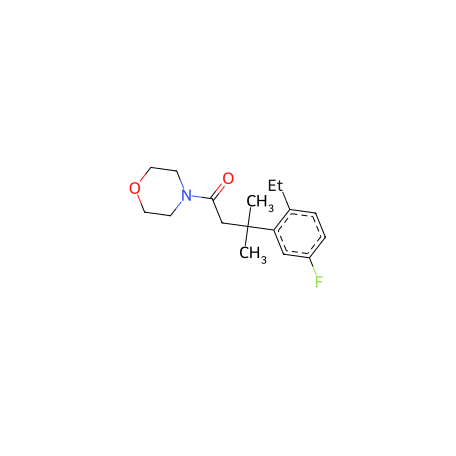 CCc1ccc(F)cc1C(C)(C)CC(=O)N1CCOCC1